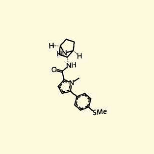 CSc1ccc(-c2ccc(C(=O)N[C@@H]3C[C@H]4CC[C@@H]3N4)n2C)cc1